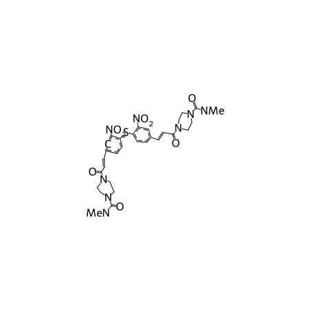 CNC(=O)N1CCN(C(=O)/C=C/c2ccc(Sc3ccc(/C=C/C(=O)N4CCN(C(=O)NC)CC4)cc3[N+](=O)[O-])c([N+](=O)[O-])c2)CC1